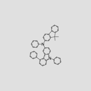 CC1(C)c2ccccc2-c2ccc(N(c3ccccc3)c3ccc4c(c3)c3c(-c5ccccc5)cccc3n4-c3ccccc3)cc21